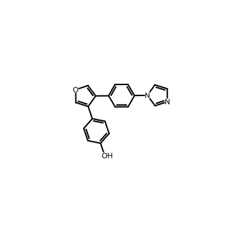 Oc1ccc(-c2cocc2-c2ccc(-n3ccnc3)cc2)cc1